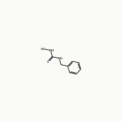 S=C(NS)NCc1ccccc1